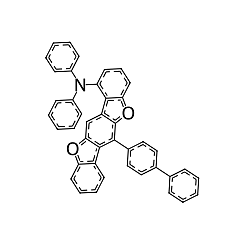 c1ccc(-c2ccc(-c3c4oc5cccc(N(c6ccccc6)c6ccccc6)c5c4cc4oc5ccccc5c34)cc2)cc1